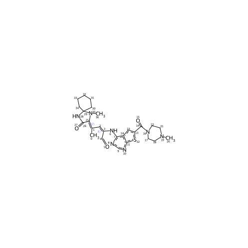 CC(/C=C(\C=O)Nc1ncnc2sc(C(=O)N3CCN(C)CC3)cc12)=C1\C(=O)NC2(CCCCC2)N1C